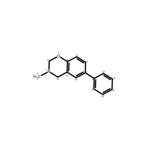 CN1COc2ccc(-c3ccccc3)cc2C1